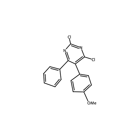 COc1ccc(-c2c(Cl)nc(Cl)nc2-c2ccccc2)cc1